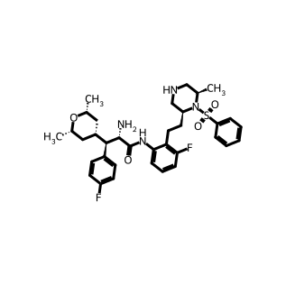 C[C@@H]1C[C@H]([C@H](c2ccc(F)cc2)[C@H](N)C(=O)Nc2cccc(F)c2CC[C@H]2CNC[C@@H](C)N2S(=O)(=O)c2ccccc2)C[C@H](C)O1